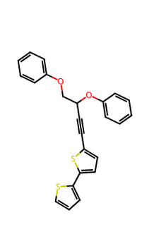 C(#CC(COc1ccccc1)Oc1ccccc1)c1ccc(-c2cccs2)s1